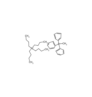 CCCC[N+](CCCC)(CCCC)CCCC.C[B-](c1ccccc1)(c1ccccc1)c1ccccc1